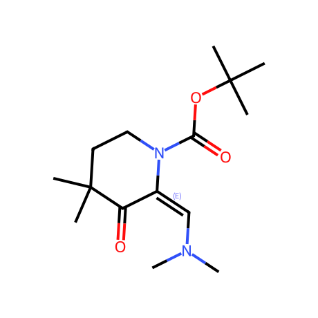 CN(C)/C=C1\C(=O)C(C)(C)CCN1C(=O)OC(C)(C)C